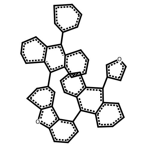 c1ccc(-c2c3ccccc3c(-c3ccc4oc5cccc(-c6c7ccccc7c(-c7ccoc7)c7ccccc67)c5c4c3)c3ccccc23)cc1